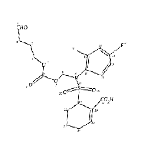 O=CCCCOC(=O)OCN(c1ccc(F)cc1I)S(=O)(=O)C1CCCC=C1C(=O)O